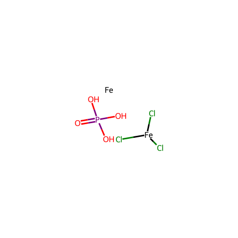 O=P(O)(O)O.[Cl][Fe]([Cl])[Cl].[Fe]